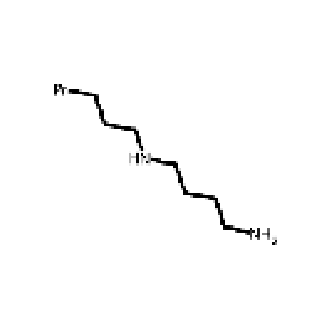 CC(C)CCCNCCCCN